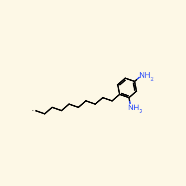 [CH2]CCCCCCCCCc1ccc(N)cc1N